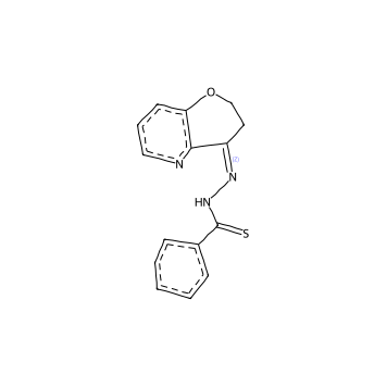 S=C(N/N=C1/CCOc2cccnc21)c1ccccc1